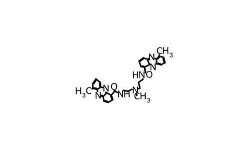 Cc1cccc2nc3c(C(=O)NCCCN(C)CCCNC(=O)c4cccc5nc6c(C)cccc6nc45)cccc3nc12